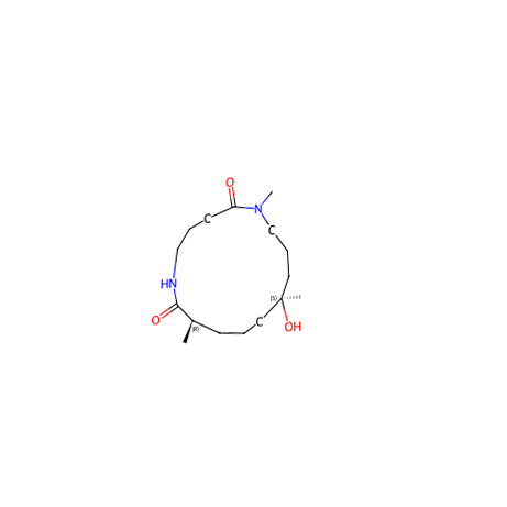 C[C@@H]1CCC[C@](C)(O)CCCN(C)C(=O)CCCNC1=O